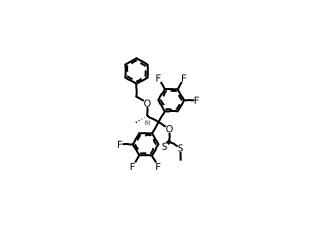 CSC(=S)OC(c1cc(F)c(F)c(F)c1)(c1cc(F)c(F)c(F)c1)[C@H](C)OCc1ccccc1